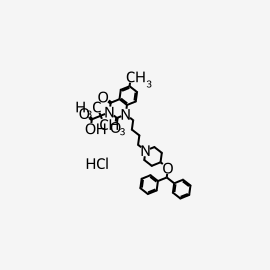 Cc1ccc2c(c1)c(=O)n(C(C)(C)C(=O)O)c(=O)n2CCCCN1CCC(OC(c2ccccc2)c2ccccc2)CC1.Cl